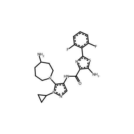 Nc1sc(-c2c(F)cccc2F)nc1C(=O)Nc1cnn(C2CC2)c1N1CCCC(N)CC1